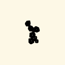 O=c1oc2cc(-n3c4ccccc4c4cc(-c5ccccc5)ccc43)ccc2c2ccccc12